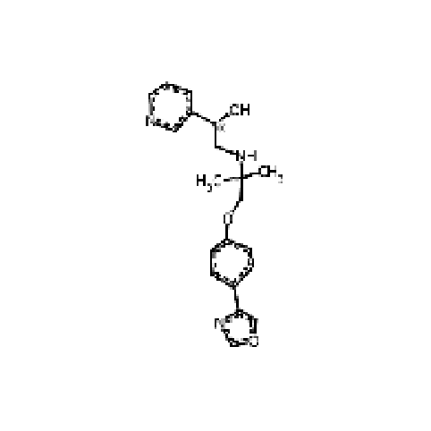 CC(C)(COc1ccc(-c2cocn2)cc1)NC[C@H](O)c1cccnc1